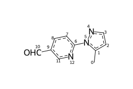 Cc1ccnn1-c1ccc(C=O)cn1